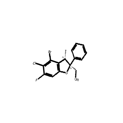 C[C@H]1c2c(cc(F)c(Cl)c2Br)O[C@]1(CO)c1ccccc1